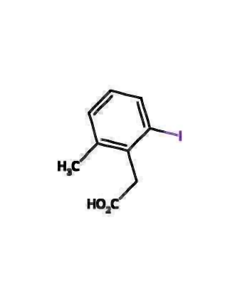 Cc1cccc(I)c1CC(=O)O